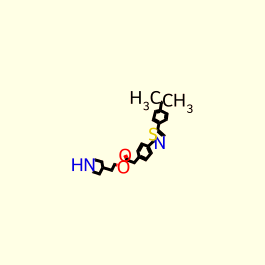 CC(C)c1ccc(-c2cnc(-c3ccc(CC(=O)OCCC4CCNCC4)cc3)s2)cc1